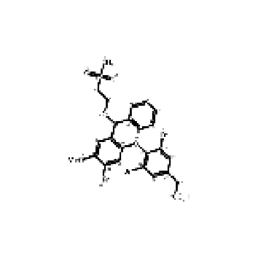 COc1cc(C(OCCS(C)(=O)=O)c2ccccc2)c(Oc2c(Br)cc(CC(=O)O)cc2Br)cc1C(C)C